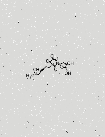 Cc1cn([C@H]2C[C@@H](O)[C@@H](CO)O2)c(=O)n(CCC#CCN(C)C)c1=O